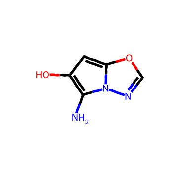 Nc1c(O)cc2ocnn12